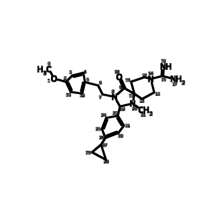 COc1ccc(CCN2C(=O)C3(CCN(C(=N)N)CC3)N(C)C2c2ccc(C3CC3)cc2)cc1